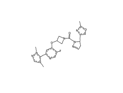 Cc1nc(C2CC=NN2C(=O)N2CC(Oc3cc(-c4c(C)cnn4C)ncc3F)C2)co1